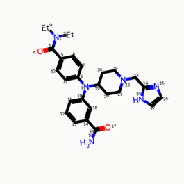 CCN(CC)C(=O)c1ccc(N(c2cccc(C(N)=O)c2)C2CCN(Cc3ncc[nH]3)CC2)cc1